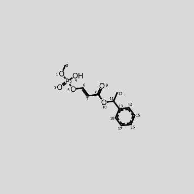 COP(=O)(O)OC=CC(=O)OC(C)c1ccccc1